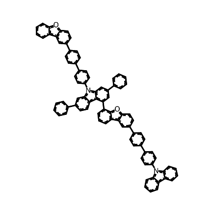 c1ccc(-c2ccc3c4c(-c5cccc6c5oc5ccc(-c7ccc(-c8ccc(-n9c%10ccccc%10c%10ccccc%109)cc8)cc7)cc56)cc(-c5ccccc5)cc4n(-c4ccc(-c5ccc(-c6ccc7oc8ccccc8c7c6)cc5)cc4)c3c2)cc1